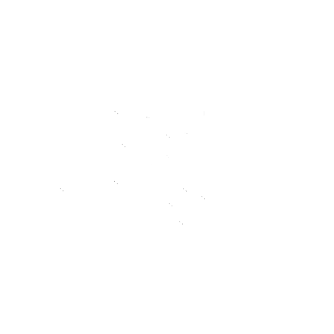 CCOC(=O)Nc1cnccc1-c1c[nH]c([C@@H]2CC[C@H]3CC(c4c(-n5cnnn5)ccc(Cl)c4F)=CC(=O)N32)n1